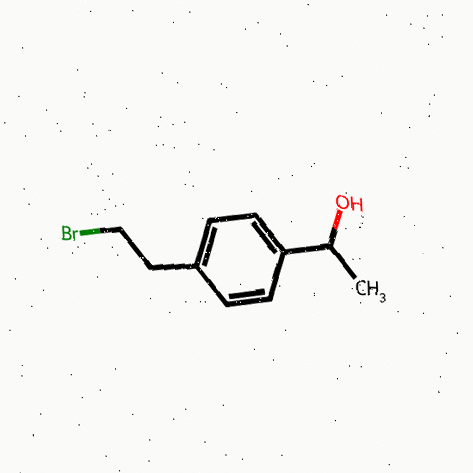 CC(O)c1ccc(CCBr)cc1